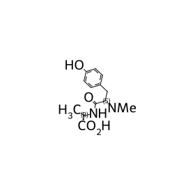 CN[C@@H](Cc1ccc(O)cc1)C(=O)N[C@H](C)C(=O)O